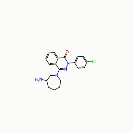 NC1CCCCN(c2nn(-c3ccc(Cl)cc3)c(=O)c3ccccc23)C1